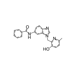 Cc1ccc(O)c(Cn2cnc3ccc(NC(=O)c4ccccc4)cc32)n1